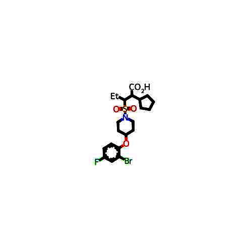 CCC(C(C(=O)O)C1CCCC1)S(=O)(=O)N1CCC(Oc2ccc(F)cc2Br)CC1